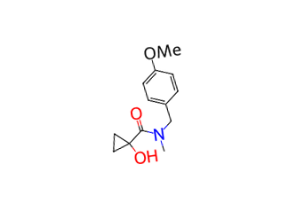 COc1ccc(CN(C)C(=O)C2(O)CC2)cc1